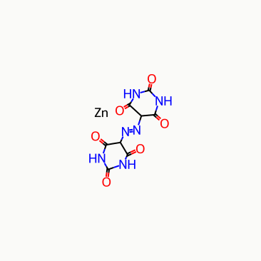 O=C1NC(=O)C(N=NC2C(=O)NC(=O)NC2=O)C(=O)N1.[Zn]